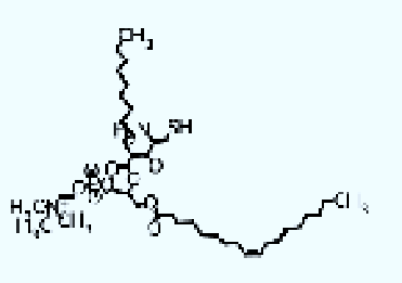 CCCCCCCC/C=C\CCCCCCCC(=O)OCC(COP(=O)([O-])OCC[N+](C)(C)C)OC(=O)C(CCCCCCCCCC)C(=O)C(N)CS